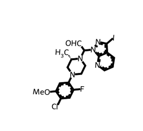 COc1cc(N2CCN(C(C=O)n3nc(I)c4cccnc43)[C@@H](C)C2)c(F)cc1Cl